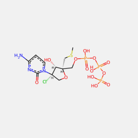 CSC[C@]1(COP(=O)(O)OP(=O)(O)OP(=O)(O)O)OC[C@@](Cl)(n2ccc(N)nc2=O)[C@@H]1O